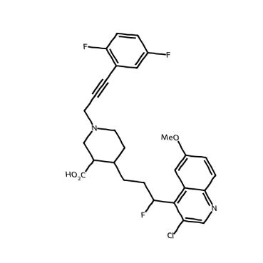 COc1ccc2ncc(Cl)c(C(F)CCC3CCN(CC#Cc4cc(F)ccc4F)CC3C(=O)O)c2c1